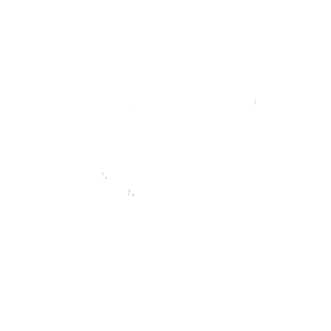 C=CCc1cnc(-c2ccc(C=CCCCC(C)O)c(F)c2F)nc1